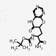 CC(C)(C)OC(=O)NC(CC1Oc2ncncc2NC1=O)C(N)=O